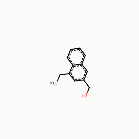 O=S(=O)(O)Cc1cc(CO)cc2ccccc12